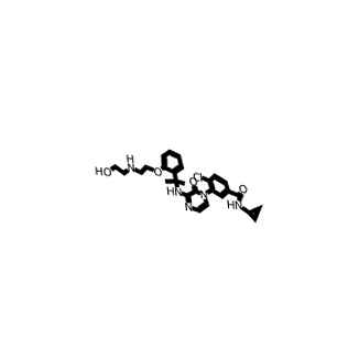 CC(C)(Nc1nccn(-c2cc(C(=O)NC3CC3)ccc2Cl)c1=O)c1ccccc1OCCNCCO